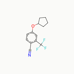 N#Cc1ccc(OC2CCCC2)cc1C(F)(F)F